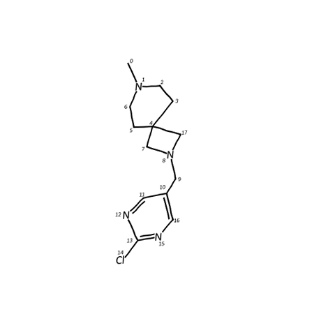 CN1CCC2(CC1)CN(Cc1cnc(Cl)nc1)C2